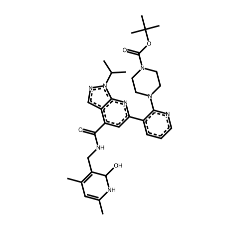 CC1=CC(C)=C(CNC(=O)c2cc(-c3cccnc3N3CCN(C(=O)OC(C)(C)C)CC3)nc3c2cnn3C(C)C)C(O)N1